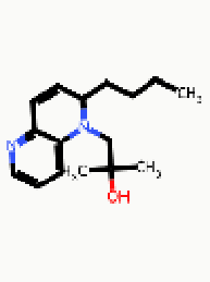 CCCCC1C=Cc2ncccc2N1CC(C)(C)O